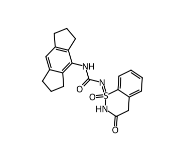 O=C1Cc2ccccc2S(=O)(=NC(=O)Nc2c3c(cc4c2CCC4)CCC3)N1